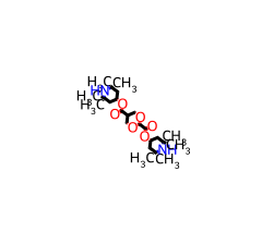 CC1(C)CC(OC(=O)C2COC(C(=O)OC3CC(C)(C)NC(C)(C)C3)OC2)CC(C)(C)N1